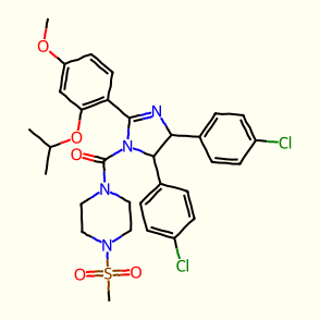 COc1ccc(C2=NC(c3ccc(Cl)cc3)C(c3ccc(Cl)cc3)N2C(=O)N2CCN(S(C)(=O)=O)CC2)c(OC(C)C)c1